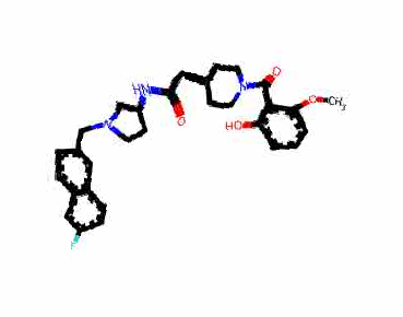 COc1cccc(O)c1C(=O)N1CCC(=CC(=O)NC2CCN(Cc3ccc4cc(F)ccc4c3)C2)CC1